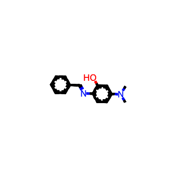 CN(C)c1ccc(N=Cc2ccccc2)c(O)c1